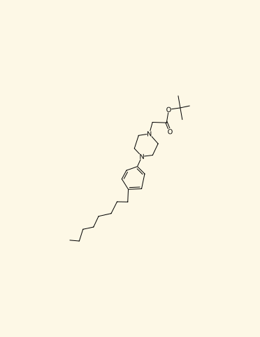 CCCCCCCCc1ccc(N2CCN(CC(=O)OC(C)(C)C)CC2)cc1